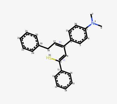 CN(C)c1ccc(C(/C=C(\S)c2ccccc2)=C/Cc2ccccc2)cc1